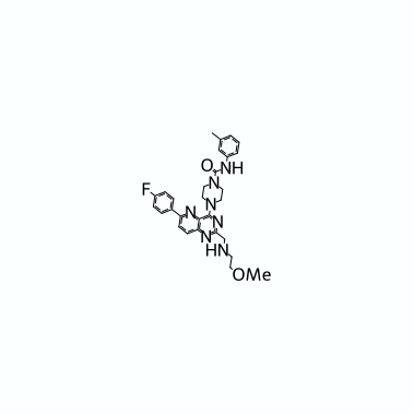 COCCNCc1nc(N2CCN(C(=O)Nc3cccc(C)c3)CC2)c2nc(-c3ccc(F)cc3)ccc2n1